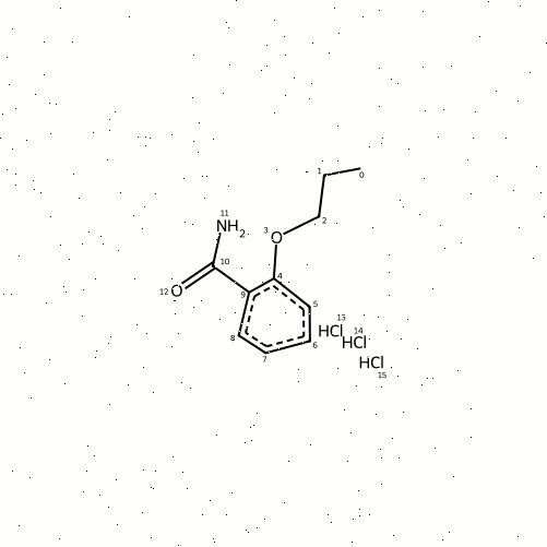 CCCOc1ccccc1C(N)=O.Cl.Cl.Cl